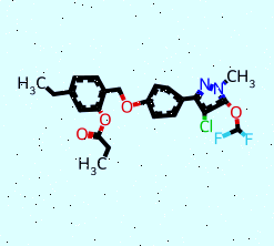 CCC(=O)Oc1cc(CC)ccc1COc1ccc(-c2nn(C)c(OC(F)F)c2Cl)cc1